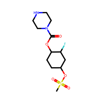 CS(=O)(=O)OC1CCC(OC(=O)N2CCNCC2)C(F)C1